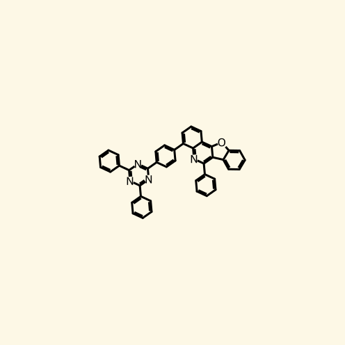 c1ccc(-c2nc(-c3ccccc3)nc(-c3ccc(-c4cccc5c4nc(-c4ccccc4)c4c6ccccc6oc54)cc3)n2)cc1